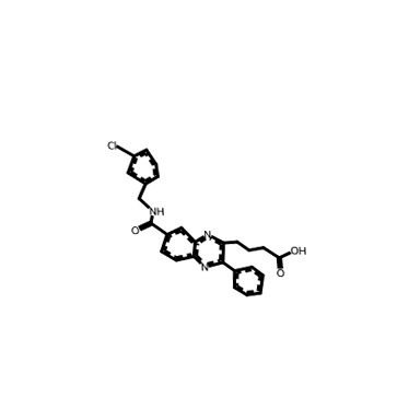 O=C(O)CCCc1nc2cc(C(=O)NCc3cccc(Cl)c3)ccc2nc1-c1ccccc1